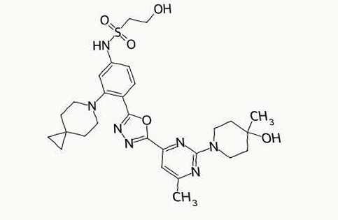 Cc1cc(-c2nnc(-c3ccc(NS(=O)(=O)CCO)cc3N3CCC4(CC3)CC4)o2)nc(N2CCC(C)(O)CC2)n1